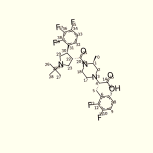 C[C@H]1CN([C@@H](Cc2cccc(F)c2F)C(=O)O)CCN1C(=O)[C@@H]1CN(C(C)(C)C)C[C@H]1c1ccc(F)c(F)c1F